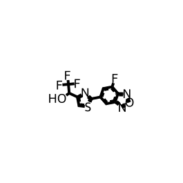 OC(c1csc(-c2cc(F)c3nonc3c2)n1)C(F)(F)F